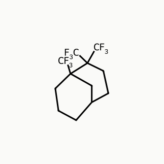 FC(F)(F)C12CCCC(CCC1(C(F)(F)F)C(F)(F)F)C2